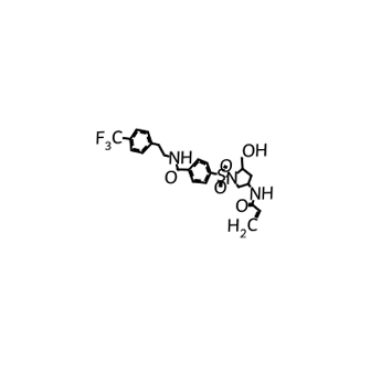 C=CC(=O)NC1CC(CO)N(S(=O)(=O)c2ccc(C(=O)NCCc3ccc(C(F)(F)F)cc3)cc2)C1